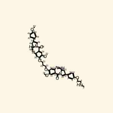 CNCCOc1ccc(C2=CN3C(=O)c4cc(OC)c(OCCCOc5cc6c(cc5OC)C(=O)N5C=C(c7ccc(OC)cc7)C[C@H]5C=N6)cc4N=C[C@@H]3C2)cc1